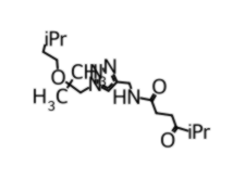 CC(C)CCOC(C)(C)Cn1cc(CNC(=O)CCC(=O)C(C)C)nn1